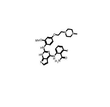 COc1cc(OCCN2CCN(C)CC2)ccc1Nc1nc(Nc2cccc(F)c2C(N)=O)c2ccnc-2[nH]1